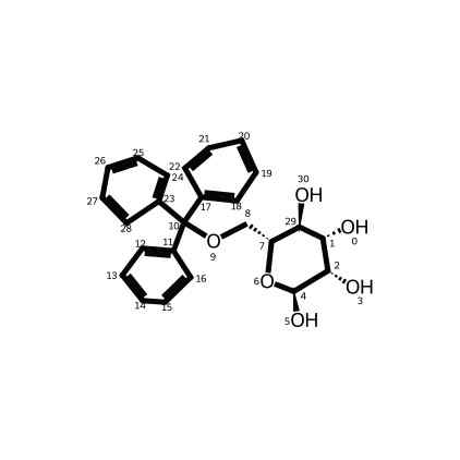 O[C@@H]1[C@H](O)[C@@H](O)O[C@H](COC(c2ccccc2)(c2ccccc2)c2ccccc2)[C@H]1O